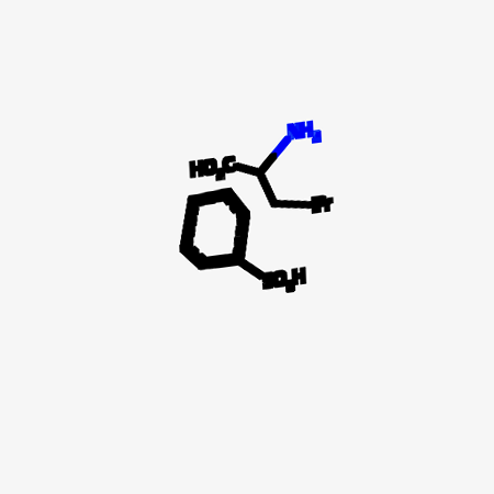 CC(C)CC(N)C(=O)O.O=S(=O)(O)c1ccccc1